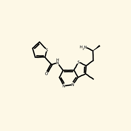 Cc1c(C[C@H](C)N)sc2c(NC(=O)c3cccs3)cnnc12